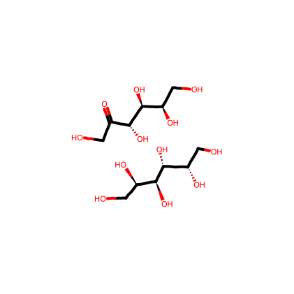 O=C(CO)[C@@H](O)[C@@H](O)[C@H](O)CO.OC[C@@H](O)[C@H](O)[C@H](O)[C@@H](O)CO